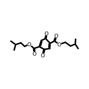 CC(C)CCOC(=O)C1=CC(=O)C(C(=O)OCCC(C)C)=CC1=O